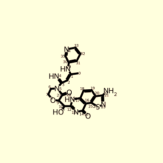 C/C(=C/C(=N)N1CCOC(C(O)c2nc(=O)c3c(ccc4c(N)nsc43)[nH]2)C1=O)Nc1cccnc1